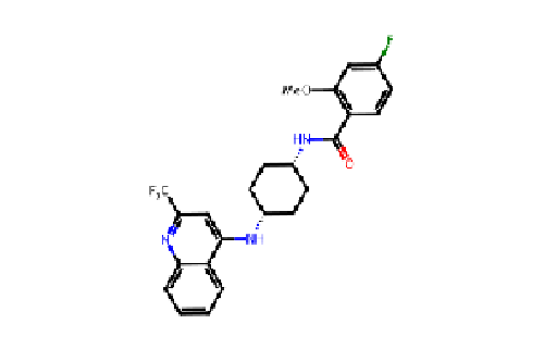 COc1cc(F)ccc1C(=O)N[C@H]1CC[C@@H](Nc2cc(C(F)(F)F)nc3ccccc23)CC1